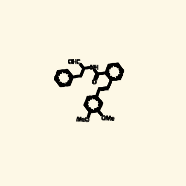 COc1ccc(C=Cc2ccccc2C(=O)NC(C=O)Cc2ccccc2)cc1OC